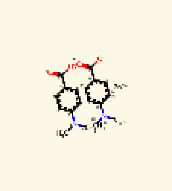 CN(C)c1ccc(C(=O)[O-])cc1.CN(C)c1ccc(C(=O)[O-])cc1.[Zn+2]